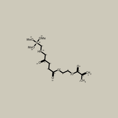 C=C(C)C(=O)OCCOC(=O)CCC(=O)CNC[Si](OC)(OC)OC